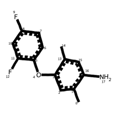 Cc1cc(Oc2ccc(F)cc2F)c(C)cc1N